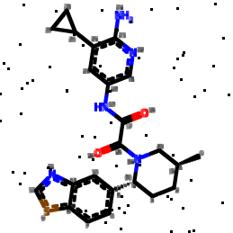 C[C@H]1CC[C@H](c2ccc3scnc3c2)N(C(=O)C(=O)Nc2cnc(N)c(C3CC3)c2)C1